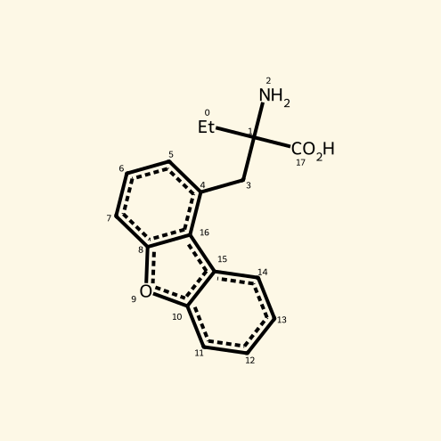 CCC(N)(Cc1cccc2oc3ccccc3c12)C(=O)O